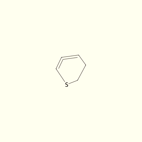 C1=CCCSC=1